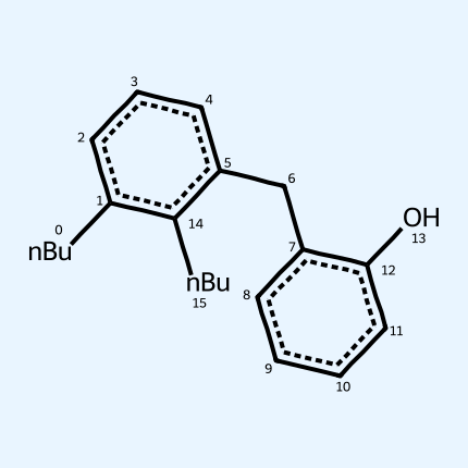 CCCCc1cccc(Cc2ccccc2O)c1CCCC